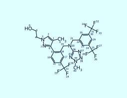 Cc1cn(CCO)nc1-c1ccc(C(F)(F)F)cc1CN(Cc1cc(C(F)(F)F)cc(C(F)(F)F)c1)c1nnn(C)n1